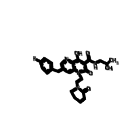 C[C@@H](O)CNC(=O)c1c(O)c2ncc(Cc3ccc(F)cc3)cc2n(CCN2CCCCC2=O)c1=O